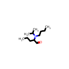 [CH2]CCC(C=O)N(CCCC)C(C)C